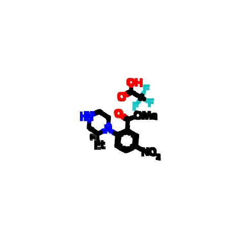 CC[C@@H]1CNCCN1c1ccc([N+](=O)[O-])cc1C(=O)OC.O=C(O)C(F)(F)F